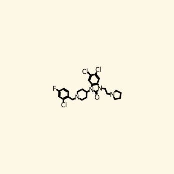 O=c1n(CCN2CCCC2)c2cc(Cl)c(Cl)cc2n1C1CCN(Cc2ccc(F)cc2Cl)CC1